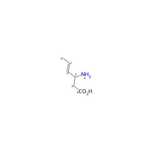 C/C=C/C(N)CC(=O)O